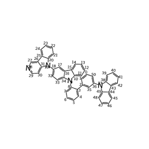 c1cc(-c2ccccc2-n2c3ccccc3c3cc(-n4c5ccccc5c5cnccc54)ccc32)cc(-n2c3ccccc3c3ccccc32)c1